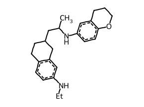 CCNc1ccc2c(c1)CC(CC(C)Nc1ccc3c(c1)CCCO3)CC2